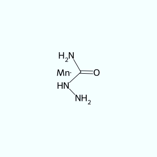 NNC(N)=O.[Mn]